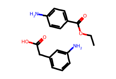 CCOC(=O)c1ccc(N)cc1.Nc1cccc(CC(=O)O)c1